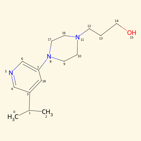 CC(C)c1cncc(N2CCN(CCCO)CC2)c1